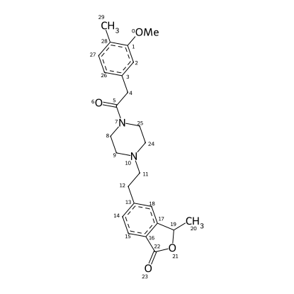 COc1cc(CC(=O)N2CCN(CCc3ccc4c(c3)C(C)OC4=O)CC2)ccc1C